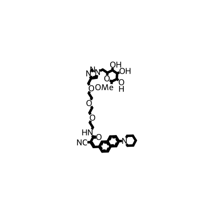 COC1OC(Cn2cc(COCCOCCOCCNC(=O)C(C#N)=Cc3ccc4cc(N5CCCCC5)ccc4c3)nn2)C(O)C(O)C1O